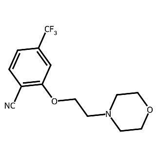 N#Cc1ccc(C(F)(F)F)cc1OCCN1CCOCC1